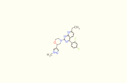 CCc1ccc2c(-c3ccc(F)cc3F)nc(N3CCOC(c4cnn(C)c4)C3)nc2n1